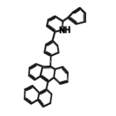 C1=CC(c2ccccc2)NC(C2=CC=C(C3=c4ccccc4=C(C4=c5ccccc5=CCC4)C4C=CC=CC34)CC2)=C1